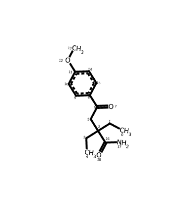 CCC(CC)(CC(=O)c1ccc(OC)cc1)C(N)=O